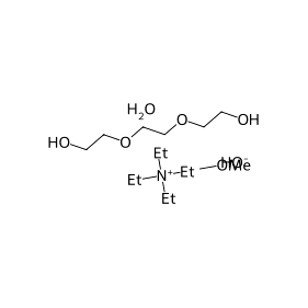 CC[N+](CC)(CC)CC.COC.O.OCCOCCOCCO.[OH-]